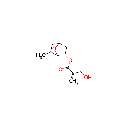 C=C(CO)C(=O)OC1CC2CC(C)C1O2